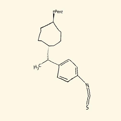 CCCCC[C@H]1CC[C@H](C(C)c2ccc(N=C=S)cc2)CC1